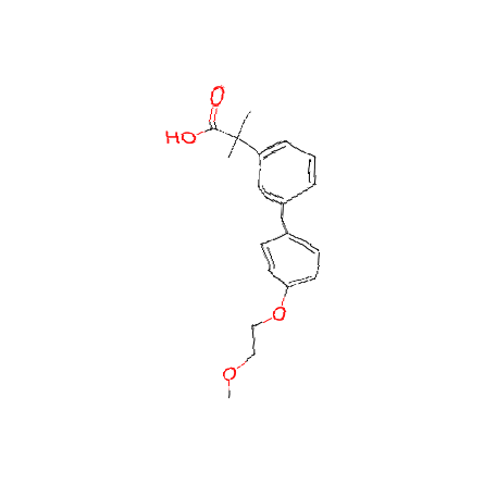 COCCOc1ccc(-c2cccc(C(C)(C)C(=O)O)c2)cc1